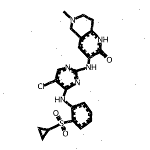 CN1CCc2[nH]c(=O)c(Nc3ncc(Cl)c(Nc4ccccc4S(=O)(=O)C4CC4)n3)cc2C1